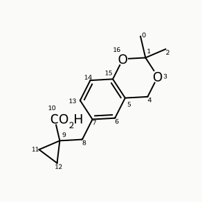 CC1(C)OCc2cc(CC3(C(=O)O)CC3)ccc2O1